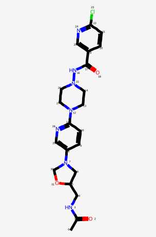 CC(=O)NCC1CN(c2ccc(N3CCN(NC(=O)c4ccc(Cl)nc4)CC3)nc2)CO1